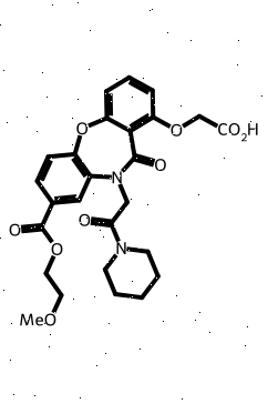 COCCOC(=O)c1ccc2c(c1)N(CC(=O)N1CCCCC1)C(=O)c1c(OCC(=O)O)cccc1O2